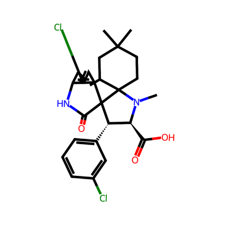 CC1CC(C)(C)CCC12N(C)[C@@H](C(=O)O)[C@H](c1cccc(Cl)c1)C21C(=O)Nc2cc(Cl)ccc21